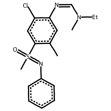 CCN(C)/C=N\c1cc(C)c(S(C)(=O)=Nc2ccccc2)cc1Cl